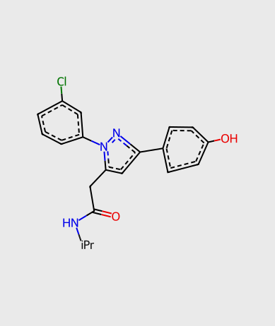 CC(C)NC(=O)Cc1cc(-c2ccc(O)cc2)nn1-c1cccc(Cl)c1